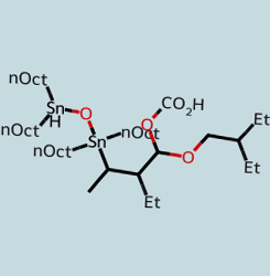 CCCCCCC[CH2][SnH]([CH2]CCCCCCC)[O][Sn]([CH2]CCCCCCC)([CH2]CCCCCCC)[CH](C)C(CC)C(OCC(CC)CC)OC(=O)O